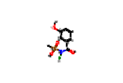 COc1cccc(C(=O)N(F)S(C)(=O)=O)c1